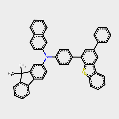 CC1(C)c2ccccc2-c2ccc(N(c3ccc(-c4cc(-c5ccccc5)cc5c4sc4ccccc45)cc3)c3ccc4ccccc4c3)cc21